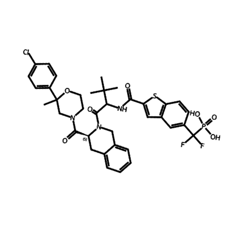 CC1(c2ccc(Cl)cc2)CN(C(=O)[C@@H]2Cc3ccccc3CN2C(=O)C(NC(=O)c2cc3cc(C(F)(F)P(=O)(O)O)ccc3s2)C(C)(C)C)CCO1